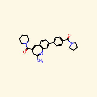 NC1=Nc2cc(-c3ccc(C(=O)N4CCCC4)cc3)ccc2C=C(C(=O)N2CCCCC2)C1